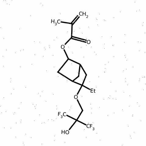 C=C(C)C(=O)OC1CC2CC1CC2(CC)OCC(O)(C(F)(F)F)C(F)(F)F